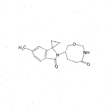 Cc1ccc2c(c1)C1(CC1)N(C1CCC(=O)NCOC1)C2=O